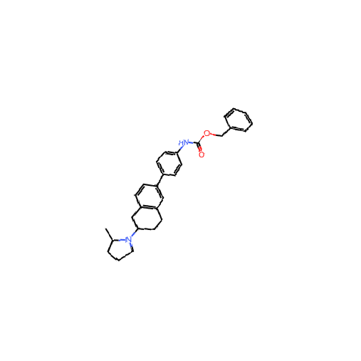 CC1CCCN1C1CCc2cc(-c3ccc(NC(=O)OCc4ccccc4)cc3)ccc2C1